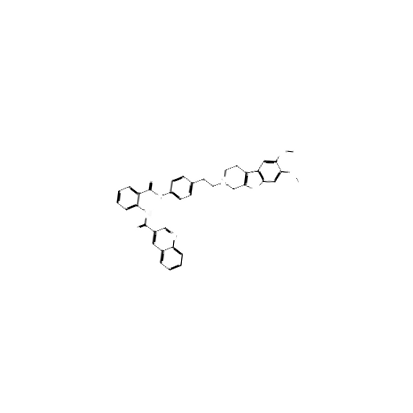 COc1cc2oc3c(c2cc1OC)CCN(CCc1ccc(NC(=O)c2ccccc2NC(=O)c2cnc4ccccc4c2)cc1)C3